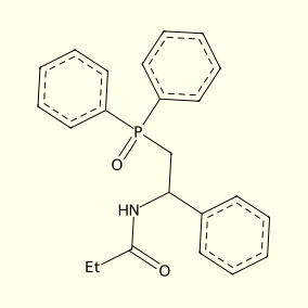 CCC(=O)NC(CP(=O)(c1ccccc1)c1ccccc1)c1ccccc1